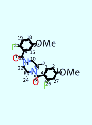 COc1ccc(C(=O)N2[C@H](C)CN(C(=O)c3cc(OC)ccc3F)C[C@H]2C)c(F)c1